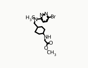 COC(=O)CNC1CCC(CN(C)c2ccc(Br)nn2)CC1